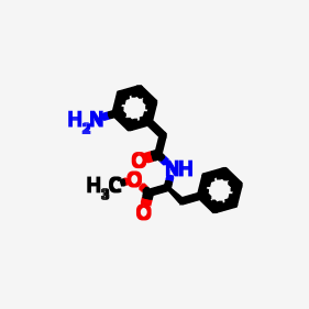 COC(=O)[C@H](Cc1ccccc1)NC(=O)Cc1cccc(N)c1